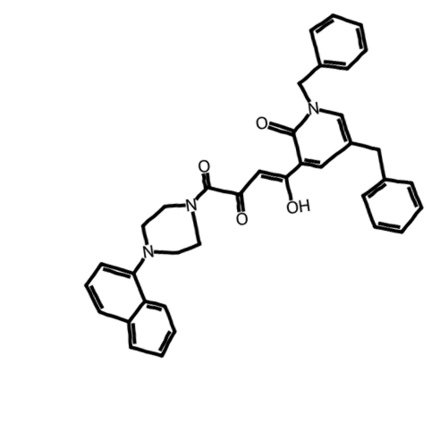 O=C(C=C(O)c1cc(Cc2ccccc2)cn(Cc2ccccc2)c1=O)C(=O)N1CCN(c2cccc3ccccc23)CC1